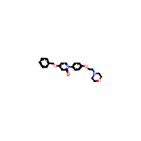 O=c1cc(OCc2ccccc2)ccn1-c1ccc(OCCN2CCOCC2)cc1